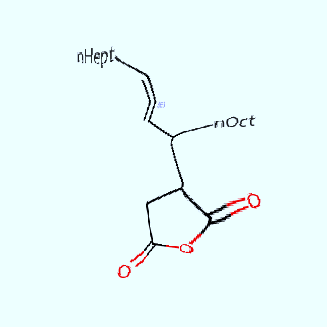 CCCCCCC/C=C/C(CCCCCCCC)C1CC(=O)OC1=O